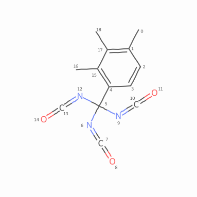 Cc1ccc(C(N=C=O)(N=C=O)N=C=O)c(C)c1C